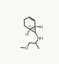 COCC(C)NC1[C@H]2C=CCC[C@@H]12